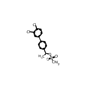 CC(OS(C)(=O)=O)c1ccc(-c2ccc(Cl)c(Cl)c2)cc1